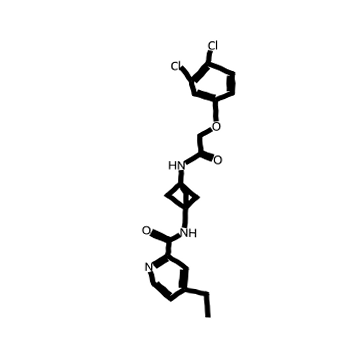 CCc1ccnc(C(=O)NC23CC(NC(=O)COc4ccc(Cl)c(Cl)c4)(C2)C3)c1